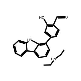 CCNCC.O=Cc1ccc(-c2cccc3c2[nH]c2ccccc23)cc1O